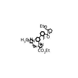 CCOC[C@H]1CCCN1C(=O)c1cccc(-c2cccc(-n3ncc(C(=O)OCC)c3[C@@H]3C[C@H]3c3cn(C)nn3)c2)c1F